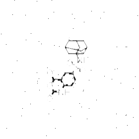 O=c1[nH]c2ccc(S(=O)(=O)NC34CC5CC(CC(C5)C3)C4)cc2c(=O)o1